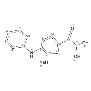 O=C(c1ccc(Nc2ccccc2)cc1)C(O)O.[NaH]